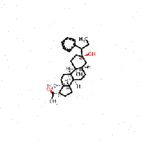 CCC(c1ccccc1)[C@@]1(O)CC[C@@]2(C)[C@H](CC[C@@H]3[C@@H]2CC[C@]2(C)[C@@H](C(C)=O)CC[C@@H]32)C1